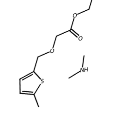 CCOC(=O)COCc1ccc(C)s1.CNC